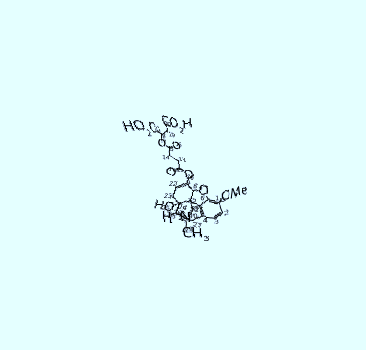 COc1ccc2c3c1OC1C(OC(=O)CCC(=O)O[C@H](CC(=O)O)C(=O)O)=CC[C@@]4(O)[C@@H](C2)N(C)CCC314